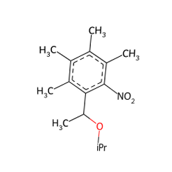 Cc1c(C)c(C)c([N+](=O)[O-])c(C(C)OC(C)C)c1C